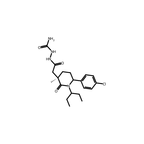 CCC(CC)N1C(=O)[C@@](C)(CC(=O)NNC(N)=O)CCC1c1ccc(Cl)cc1